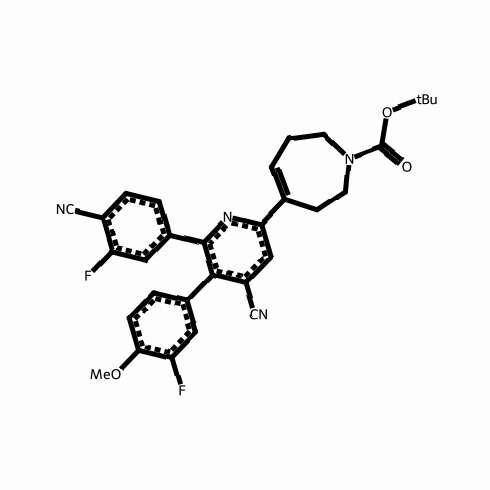 COc1ccc(-c2c(C#N)cc(C3=CCCN(C(=O)OC(C)(C)C)CC3)nc2-c2ccc(C#N)c(F)c2)cc1F